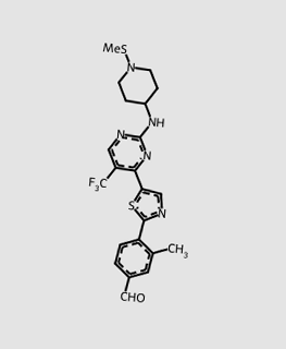 CSN1CCC(Nc2ncc(C(F)(F)F)c(-c3cnc(-c4ccc(C=O)cc4C)s3)n2)CC1